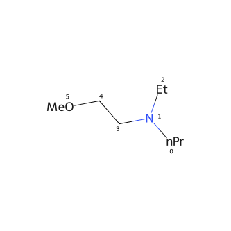 [CH2]CCN(CC)CCOC